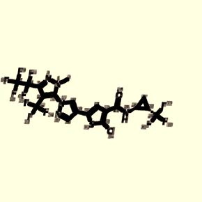 Cn1nc(C(F)(F)C(F)(F)F)c(C(F)(F)F)c1-n1cc(-c2cc(C(=O)N[C@H]3C[C@@H]3C(F)(F)F)c(Cl)s2)cn1